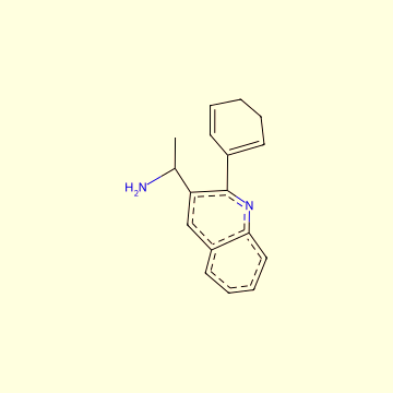 CC(N)c1cc2ccccc2nc1C1=CCCC=C1